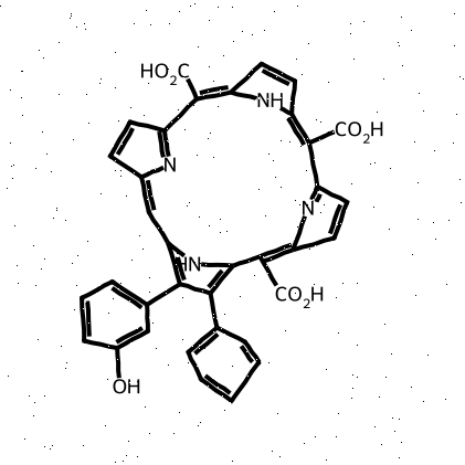 O=C(O)c1c2nc(cc3[nH]c(c(C(=O)O)c4nc(c(C(=O)O)c5ccc1[nH]5)C=C4)c(-c1ccccc1)c3-c1cccc(O)c1)C=C2